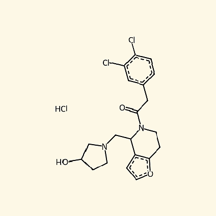 Cl.O=C(Cc1ccc(Cl)c(Cl)c1)N1CCc2occc2C1CN1CCC(O)C1